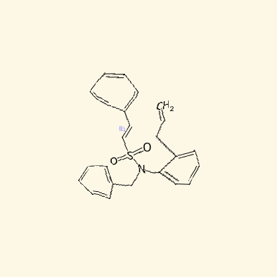 C=CCc1ccccc1N(Cc1ccccc1)S(=O)(=O)/C=C/c1ccccc1